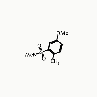 CNS(=O)(=O)c1cc(OC)[c]cc1C